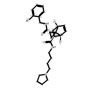 O=C(NCCCCN1CCCC1)[C@H]1[C@H](C(=O)NCc2ccccc2Br)[C@@H]2C=C[C@H]1C21CC1